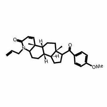 C=CCN1C(=O)C=C[C@@]2(C)C1CC[C@@H]1[C@H]2CC[C@]2(C)C(C(=O)c3ccc(OC)cc3)CC[C@@H]12